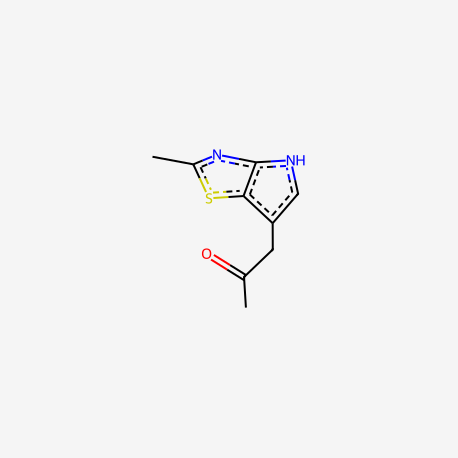 CC(=O)Cc1c[nH]c2nc(C)sc12